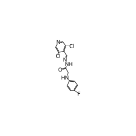 O=C(CNc1ccc(F)cc1)N/N=C/c1c(Cl)cncc1Cl